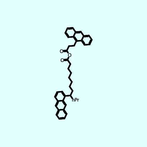 CCCC(CCCCCCCC(=O)OC(=O)CCc1c2ccccc2cc2ccccc12)c1cccc2cc3ccccc3cc12